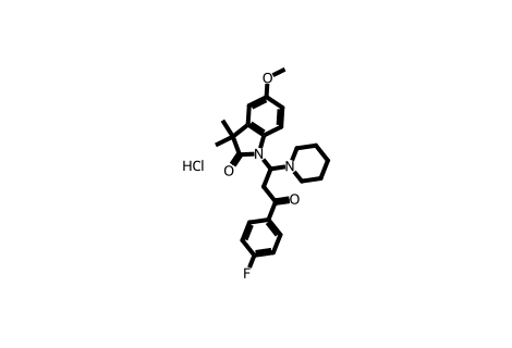 COc1ccc2c(c1)C(C)(C)C(=O)N2C(CC(=O)c1ccc(F)cc1)N1CCCCC1.Cl